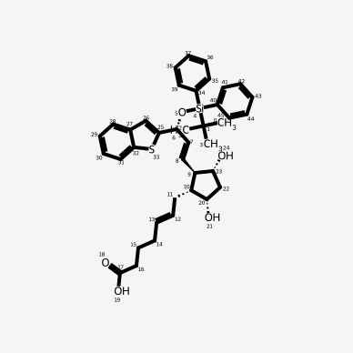 CC(C)(C)[Si](O[C@H](C=C[C@@H]1[C@@H](CC=CCCCC(=O)O)[C@@H](O)C[C@H]1O)c1cc2ccccc2s1)(c1ccccc1)c1ccccc1